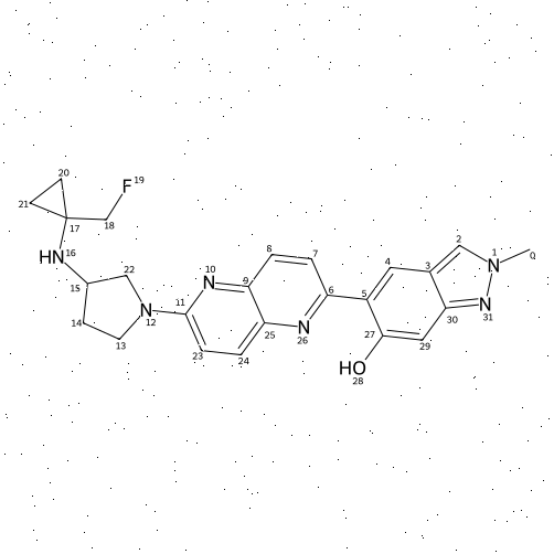 Cn1cc2cc(-c3ccc4nc(N5CCC(NC6(CF)CC6)C5)ccc4n3)c(O)cc2n1